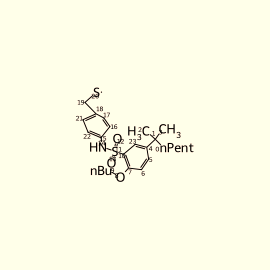 CCCCCC(C)(C)c1ccc(OCCCC)c(S(=O)(=O)Nc2ccc(C[S])cc2)c1